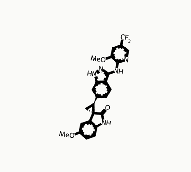 COc1ccc2c(c1)[C@]1(C[C@H]1c1ccc3c(Nc4ncc(C(F)(F)F)cc4OC)n[nH]c3c1)C(=O)N2